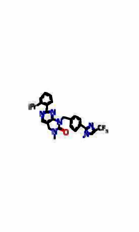 CC(C)c1ccccc1-c1ncc2c(n1)N(Cc1ccc(-c3nc(C(F)(F)F)cn3C)cc1)C(=O)N(C)C2